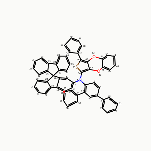 c1ccc(-c2ccc(N(c3ccc4c(c3)C3(c5ccccc5-c5ccccc53)c3ccccc3-4)c3sc(-c4ccccc4)c4c3Oc3ccccc3O4)c(-c3ccccc3)c2)cc1